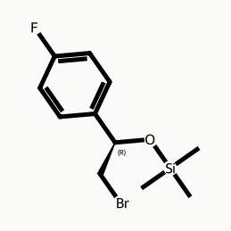 C[Si](C)(C)O[C@@H](CBr)c1ccc(F)cc1